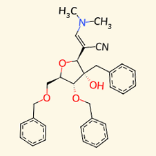 CN(C)C=C(C#N)[C@@H]1O[C@H](COCc2ccccc2)[C@@H](OCc2ccccc2)[C@]1(O)Cc1ccccc1